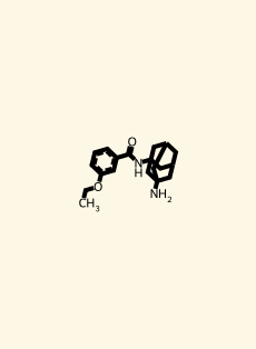 CCOc1cccc(C(=O)NC23CC4CC(CC(N)(C4)C2)C3)c1